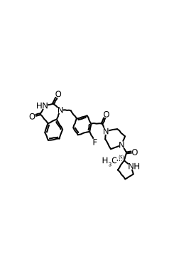 C[C@@]1(C(=O)N2CCN(C(=O)c3cc(Cn4c(=O)[nH]c(=O)c5ccccc54)ccc3F)CC2)CCCN1